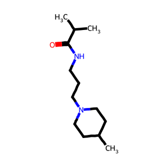 CC1CCN(CCCNC(=O)C(C)C)CC1